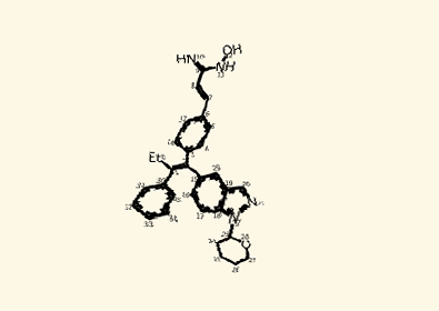 CC/C(=C(\c1ccc(/C=C/C(=N)NO)cc1)c1ccc2c(cnn2C2CCCCO2)c1)c1ccccc1